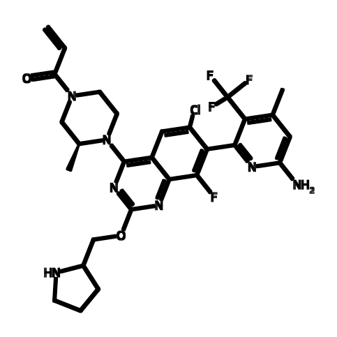 C=CC(=O)N1CCN(c2nc(OCC3CCCN3)nc3c(F)c(-c4nc(N)cc(C)c4C(F)(F)F)c(Cl)cc23)[C@@H](C)C1